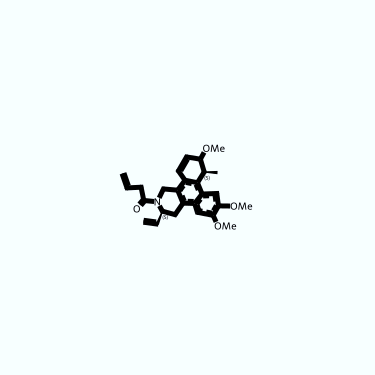 C=CCC(=O)N1Cc2c3c(c4cc(OC)c(OC)cc4c2C[C@H]1C=C)[C@H](C)C(OC)C=C3